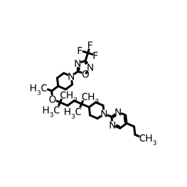 CCCc1cnc(N2CCC(C(C)(C)CCC(C)(C)OC(C)C3CCN(c4nc(C(F)(F)F)no4)CC3)CC2)nc1